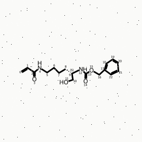 C=CC(=O)NCCCC[C@@H](CO)NC(=O)OCc1ccccc1